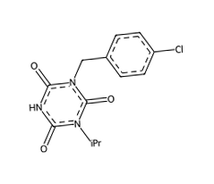 CC(C)n1c(=O)[nH]c(=O)n(Cc2ccc(Cl)cc2)c1=O